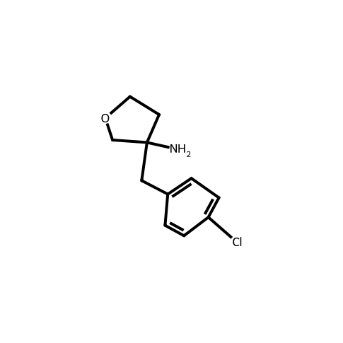 NC1(Cc2ccc(Cl)cc2)CCOC1